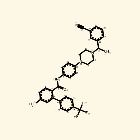 Cc1ccc(C(=O)Nc2ccc(N3CCN(C(C)c4cccc(C#N)c4)CC3)cc2)c(-c2ccc(C(F)(F)F)cc2)c1